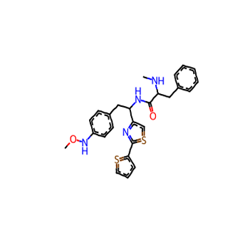 CNC(Cc1ccccc1)C(=O)NC(Cc1ccc(NOC)cc1)c1csc(-c2cccs2)n1